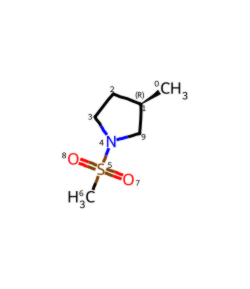 C[C@@H]1CCN(S(C)(=O)=O)C1